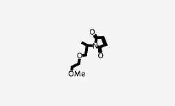 COCCOCC(C)N1C(=O)C=CC1=O